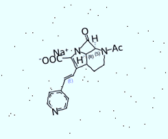 CC(=O)N1CCC2C(/C=C/c3ccncc3)=C(C(=O)[O-])N3C(=O)[C@@H]1[C@@H]23.[Na+]